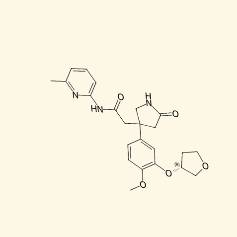 COc1ccc(C2(CC(=O)Nc3cccc(C)n3)CNC(=O)C2)cc1O[C@@H]1CCOC1